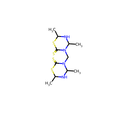 CC1NC(C)N(CN2C(=S)SC(C)NC2C)C(=S)S1